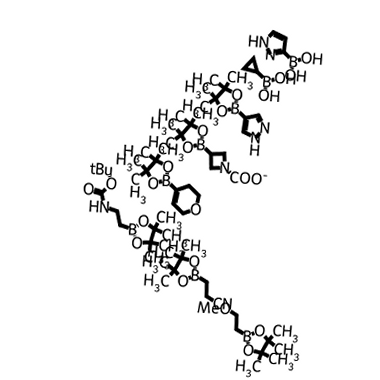 CC(C)(C)OC(=O)NCCB1OC(C)(C)C(C)(C)O1.CC1(C)OB(C2=CCOCC2)OC1(C)C.CC1(C)OB(C2CN(C(=O)[O-])C2)OC1(C)C.CC1(C)OB(CCC#N)OC1(C)C.CC1(C)OB(c2cn[nH]c2)OC1(C)C.COCCB1OC(C)(C)C(C)(C)O1.OB(O)C1CC1.OB(O)c1cc[nH]n1